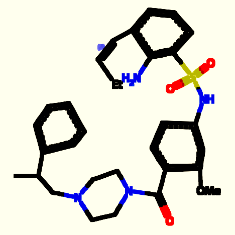 CC/C=C\c1cccc(S(=O)(=O)Nc2ccc(C(=O)N3CCN(CC(C)c4ccccc4)CC3)c(OC)c2)c1N